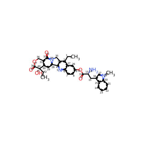 CCc1c2c(nc3ccc(OC(=O)[C@@H](N)Cc4cn(C)c5ccccc45)cc13)-c1cc3c(c(=O)n1C2)COC(=O)[C@]3(O)CC